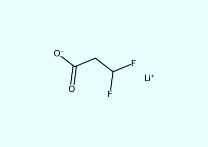 O=C([O-])CC(F)F.[Li+]